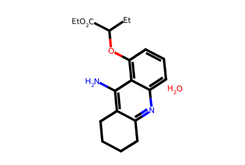 CCOC(=O)C(CC)Oc1cccc2nc3c(c(N)c12)CCCC3.O